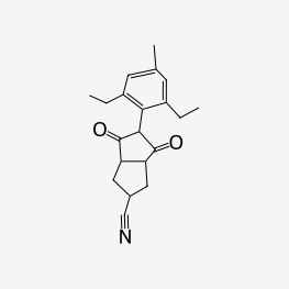 CCc1cc(C)cc(CC)c1C1C(=O)C2CC(C#N)CC2C1=O